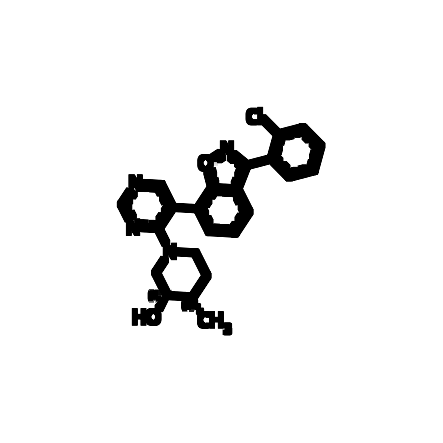 C[C@H]1CCN(c2ncncc2-c2cccc3c(-c4ccccc4Cl)noc23)C[C@@H]1O